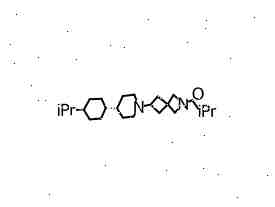 CC(C)C(=O)N1CC2(CC(N3CCC([C@H]4CC[C@H](C(C)C)CC4)CC3)C2)C1